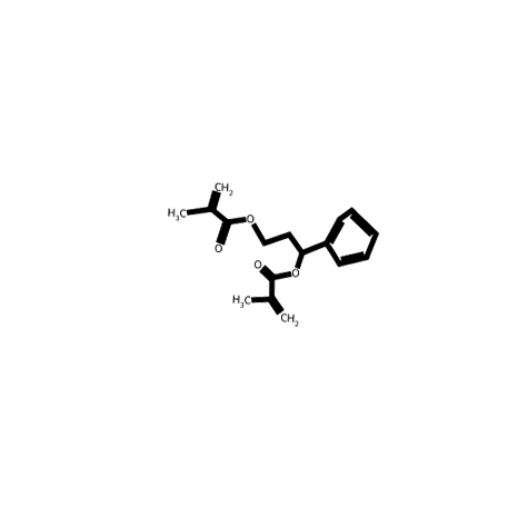 C=C(C)C(=O)OCCC(OC(=O)C(=C)C)c1ccccc1